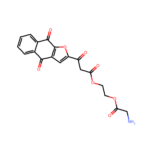 NCC(=O)OCCOC(=O)CC(=O)c1cc2c(o1)C(=O)c1ccccc1C2=O